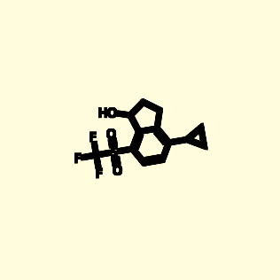 O=S(=O)(c1ccc(C2CC2)c2c1C(O)CC2)C(F)(F)F